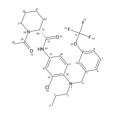 CCCN(Cc1cccc(OC(F)(F)F)c1)c1ccc(NC(=O)[C@H]2CCCCN2C(C)=O)cc1Cl